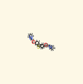 c1cc2c(cc1OCCN1CCCC1)sc1ccc(OCCN3CCCC3)cc12